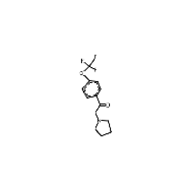 O=C(CN1CCCC1)c1ccc(OC(F)(F)F)cc1